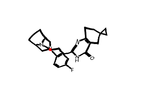 O=c1[nH]c(CCCN2C3CCC2CN(c2ccc(F)cc2)C3)nc2c1CC1(CC2)CC1